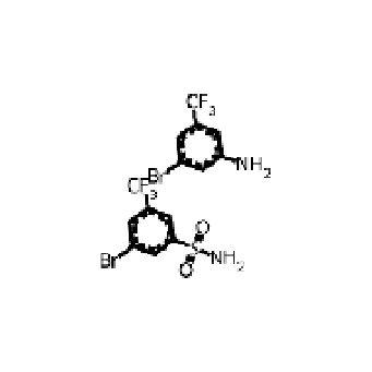 NS(=O)(=O)c1cc(Br)cc(C(F)(F)F)c1.Nc1cc(Br)cc(C(F)(F)F)c1